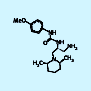 COc1ccc(NC(=O)N[C@H](CN)CN2[C@H](C)CCC[C@@H]2C)cc1